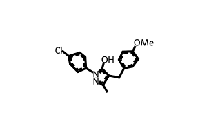 COc1ccc(Cc2c(C)nn(-c3ccc(Cl)cc3)c2O)cc1